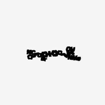 CNN(CCCOc1ccc(C(C)(C)c2ccc(OC[C@@H](C#N)CCl)c(Br)c2)cc1)C(CO)=C(C)C